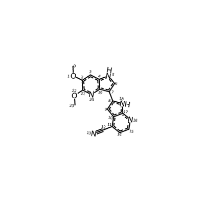 COc1cc2[nH]cc(-c3cc4c(C#N)ccnc4[nH]3)c2nc1OC